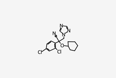 N#CC(Cn1cncn1)(OC1CCCCC1)c1ccc(Cl)cc1Cl